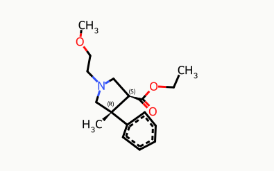 CCOC(=O)[C@@H]1CN(CCOC)C[C@@]1(C)c1ccccc1